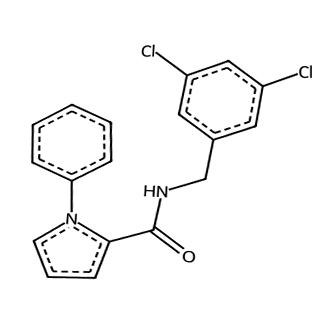 O=C(NCc1cc(Cl)cc(Cl)c1)c1cccn1-c1ccccc1